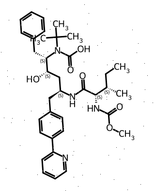 CC[C@H](C)[C@H](NC(=O)OC)C(=O)N[C@@H](Cc1ccc(-c2ccccn2)cc1)C[C@H](O)[C@H](Cc1ccccc1)N(C(=O)O)C(C)(C)C